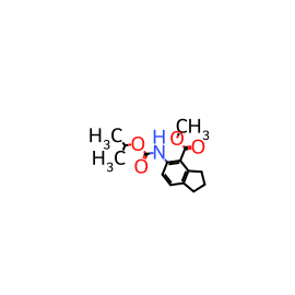 COC(=O)c1c(NC(=O)OC(C)C)ccc2c1CCC2